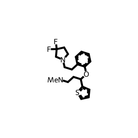 CNCCC(Oc1ccccc1CCN1CCC(F)(F)C1)c1cccs1